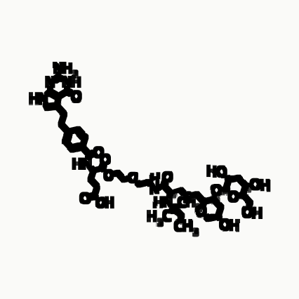 CCC(C)(C)N[C@H](CSCC1OCC(O)C[C@@H]1O[C@@H]1OC(CO)[C@@H](O)CC1O)C(=O)NCCOCCOC(=O)C(CCC(=O)O)NC(=O)c1ccc(CCc2c[nH]c3nc(N)[nH]c(=O)c23)cc1